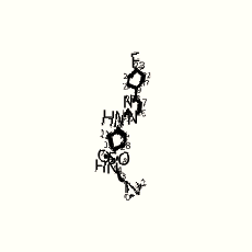 CN(C)CCNS(=O)(=O)c1ccc(Nc2nccc(-c3ccc(F)cc3)n2)cc1